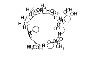 CO[C@H]1C[C@@H]2CCC(C)C(O)(O2)C(=O)C(=O)N2CCCC3C2C(=O)O[C@@H](CC(=O)[C@H](C)/C=C(\C)C(O)[C@@H](OC)C(=O)C(C)C[C@H](C)C2C=CC(/C=C/1C)ON2c1ccccc1)[C@H]3C[C@@H]1CCC(O)[C@H](OC)C1